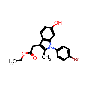 CCOC(=O)Cc1c(C)n(-c2ccc(Br)cc2)c2cc(O)ccc12